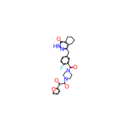 O=C(C(=O)N1CCN(C(=O)c2cc(Cc3n[nH]c(=O)c4c3CCCC4)ccc2F)CC1)c1ccco1